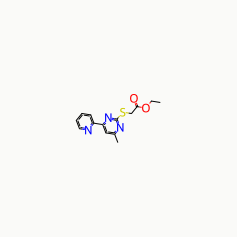 CCOC(=O)CSc1nc(C)cc(-c2ccccn2)n1